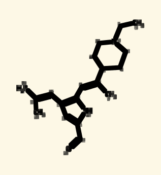 CCN1CCC(/C(C)=C/c2[nH]c(C=O)cc2/C=C(\C)P)CC1